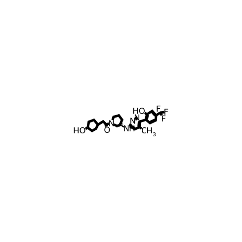 Cc1cc(N[C@@H]2CCCN(C(=O)CC3CCC(O)CC3)C2)nnc1-c1ccc(C(F)(F)F)cc1O